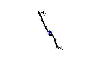 CCCCCCCCCCCCCCCC[n+]1ccc(CCCCCCCCCC)cc1